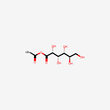 CCCCC(=O)OC(=O)[C@H](O)[C@@H](O)[C@H](O)[C@H](O)CO